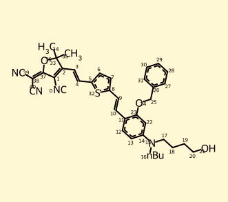 [C-]#[N+]C1=C(/C=C/c2ccc(/C=C/c3ccc(N(CCCC)CCCCO)cc3OCc3ccccc3)s2)C(C)(C)OC1=C(C#N)C#N